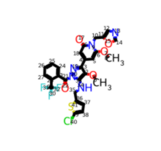 COc1c(-c2cc(OC)n(Cc3cnco3)c(=O)c2)nn(C(=O)c2ccccc2C(F)(F)F)c1NCc1ccc(Cl)s1